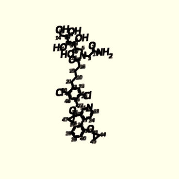 NC(=O)CN(C[C@@H](O)[C@H](O)[C@@H](O)[C@@H](O)CO)C(=O)CCCCc1cc(Cl)c(COC2(c3cnccc3-c3ccccc3OC3CC3)CC2)cc1Cl